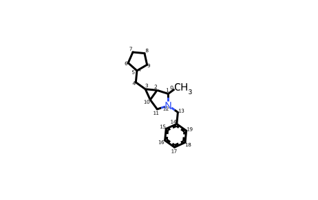 CC1C2C(C[C]3CCCC3)C2CN1Cc1ccccc1